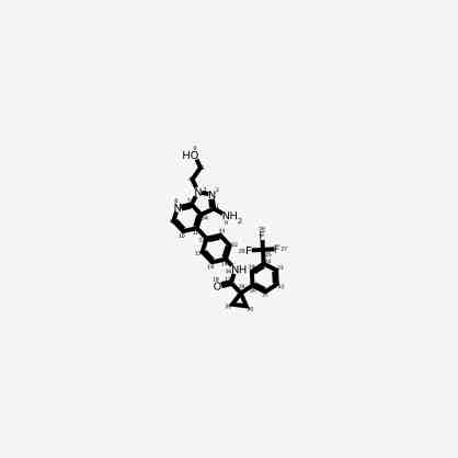 Nc1nn(CCO)c2nccc(-c3ccc(NC(=O)C4(c5cccc(C(F)(F)F)c5)CC4)cc3)c12